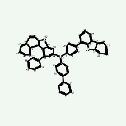 c1ccc(-c2ccc(N(c3ccc(-c4cccc5c4sc4ccccc45)cc3)c3cc(-c4ccccc4)c4c(c3)oc3ccc5ccccc5c34)cc2)cc1